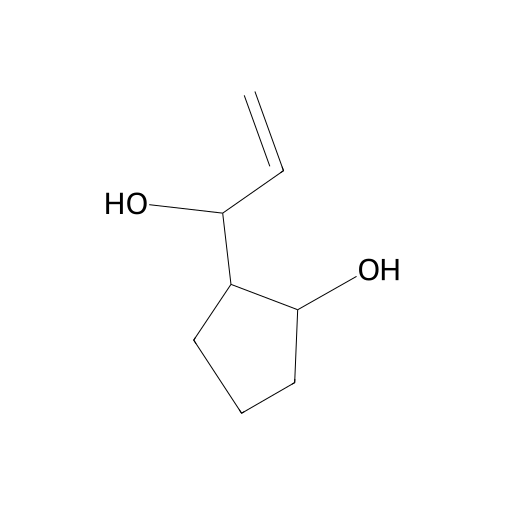 C=CC(O)C1CCCC1O